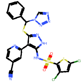 N#Cc1ccnc(-c2c(SC(c3ccccc3)n3cnnn3)n[nH]c2NS(=O)(=O)c2sc(Cl)cc2Cl)c1